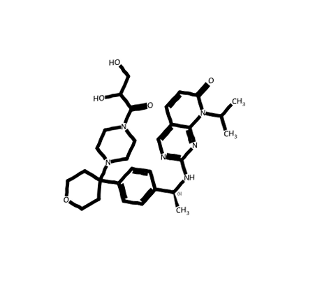 CC(C)n1c(=O)ccc2cnc(N[C@@H](C)c3ccc(C4(N5CCN(C(=O)C(O)CO)CC5)CCOCC4)cc3)nc21